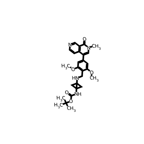 COc1cc(-c2cn(C)c(=O)c3cnccc23)cc(OC)c1CNC12CC1(NC(=O)OC(C)(C)C)C2